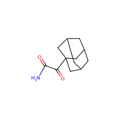 NC(=O)C(=O)C12CC3CC(CC(C3)C1)C2